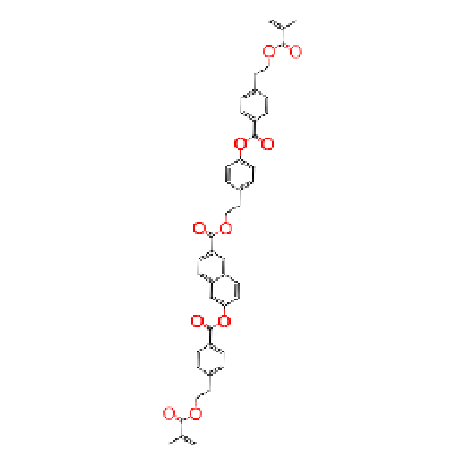 C=C(C)C(=O)OCCc1ccc(C(=O)Oc2ccc(CCOC(=O)c3ccc4cc(OC(=O)c5ccc(CCOC(=O)C(=C)C)cc5)ccc4c3)cc2)cc1